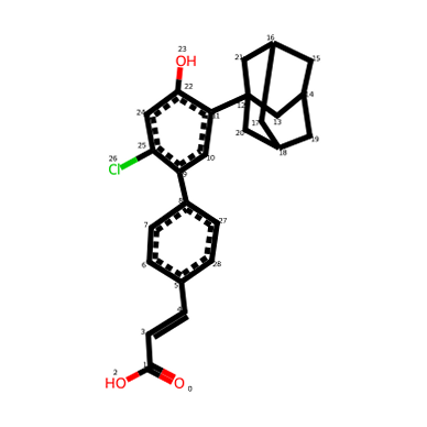 O=C(O)/C=C/c1ccc(-c2cc(C34CC5CC(CC(C5)C3)C4)c(O)cc2Cl)cc1